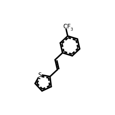 FC(F)(F)c1cccc(/C=C/c2cccs2)c1